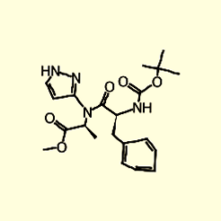 COC(=O)[C@H](C)N(C(=O)[C@H](Cc1ccccc1)NC(=O)OC(C)(C)C)c1cc[nH]n1